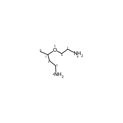 CC(CCN)OCCN